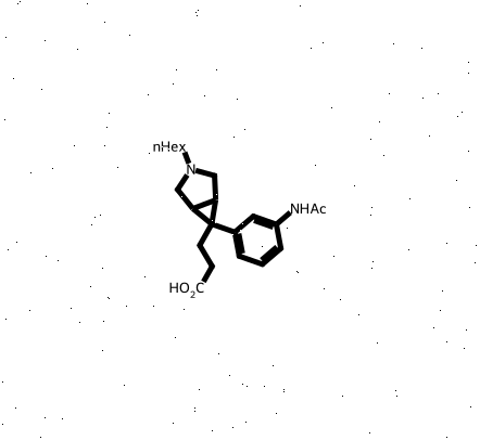 CCCCCCN1CC2C(C1)C2(CCC(=O)O)c1cccc(NC(C)=O)c1